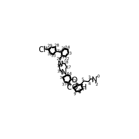 CN(C)CCCc1ccccc1Oc1cc(N2CCN(Cc3ccccc3-c3ccc(Cl)cc3)CC2)ccc1C(=O)O